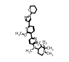 COc1nc(-c2cnn(C3CCCCO3)c2)ccc1-c1ccc(N(C)C2CCN(C)C(C)(C)C2C)nn1